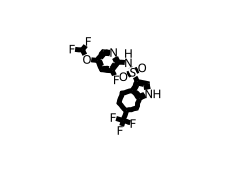 O=S(=O)(Nc1ncc(OC(F)F)cc1F)c1c[nH]c2c1CCC(C(F)(F)F)C2